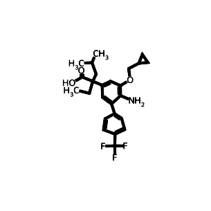 CCC(CC(C)C)(C(=O)O)c1cc(OCC2CC2)c(N)c(-c2ccc(C(F)(F)F)cc2)c1